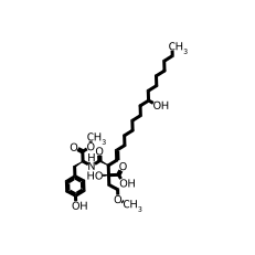 CCCCCCCC(O)CCCCCC/C=C/[C@H](C(=O)N[C@@H](Cc1ccc(O)cc1)C(=O)OC)[C@@](O)(CCOC)C(=O)O